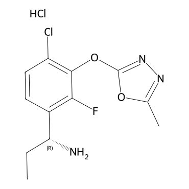 CC[C@@H](N)c1ccc(Cl)c(Oc2nnc(C)o2)c1F.Cl